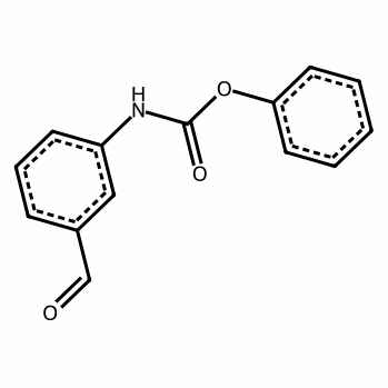 O=Cc1cccc(NC(=O)Oc2ccccc2)c1